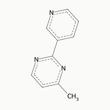 Cc1ccnc(-c2cccnc2)n1